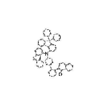 c1ccc(C2(c3ccccc3)c3ccccc3-c3c(N(c4ccc(-c5cccc6oc7c8ccccc8ccc7c56)cc4)c4cccc5sc6ccccc6c45)cccc32)cc1